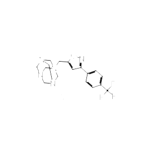 FC(F)(F)c1ccc(-c2cc(C[N+]34CN5CN(CN(C5)C3)C4)on2)cc1.[Cl-]